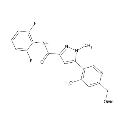 COCc1cc(C)c(-c2cc(C(=O)Nc3c(F)cccc3F)nn2C)cn1